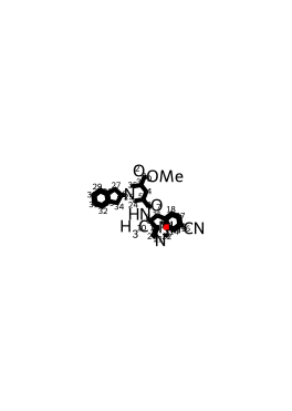 COC(=O)C1CC(C(=O)NC(C)(Cc2ccc(C#N)cc2)c2cnc[nH]2)CN(C2Cc3ccccc3C2)C1